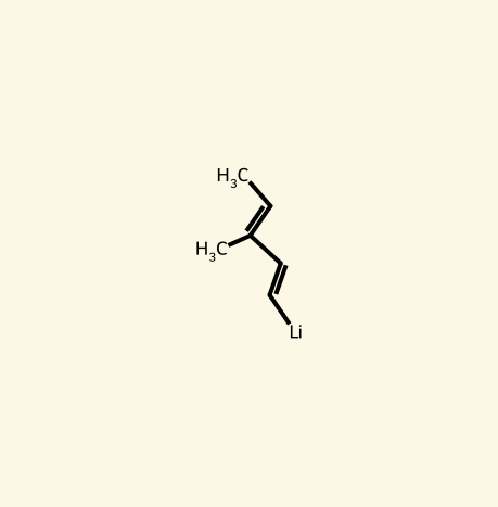 [Li]/[CH]=C/C(C)=C/C